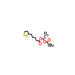 CC(OC(=O)CCCCC1CCSS1)OC(=O)C(C)(C)C